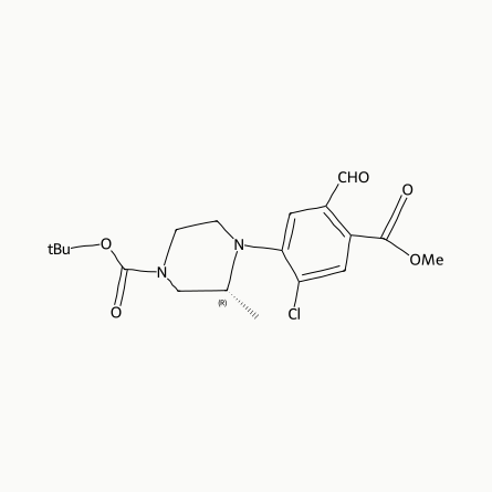 COC(=O)c1cc(Cl)c(N2CCN(C(=O)OC(C)(C)C)C[C@H]2C)cc1C=O